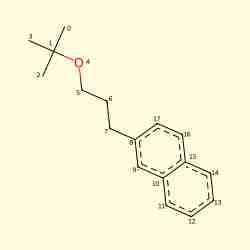 CC(C)(C)OCCCc1[c]c2ccccc2cc1